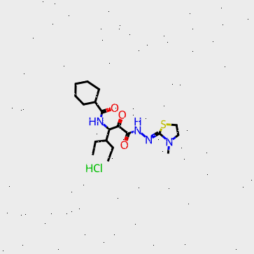 CCC(CC)C(NC(=O)C1CCCCC1)C(=O)C(=O)NN=C1SCCN1C.Cl